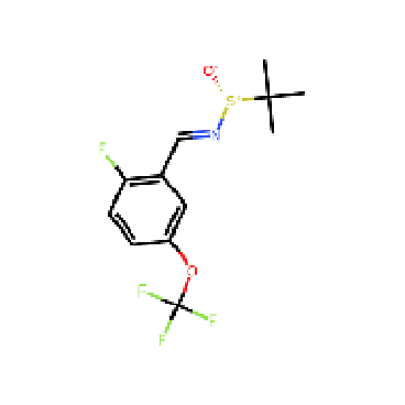 CC(C)(C)[S@@+]([O-])/N=C/c1cc(OC(F)(F)F)ccc1F